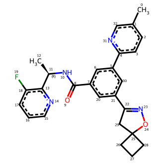 Cc1ccc(-c2cc(C(=O)N[C@H](C)c3ncccc3F)cc(C3=NOC4(CCC4)C3)c2)nc1